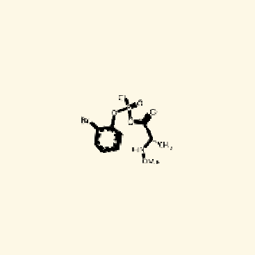 CON[C@@H](C)C(=O)OP(=O)(Cl)Oc1ccccc1Br